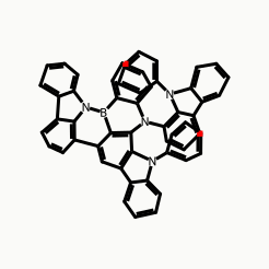 c1ccc(-n2c3ccccc3c3cccc(N4c5ccccc5B5c6c(cc7c8ccccc8n(-c8ccccc8)c7c64)-c4cccc6c7ccccc7n5c46)c32)cc1